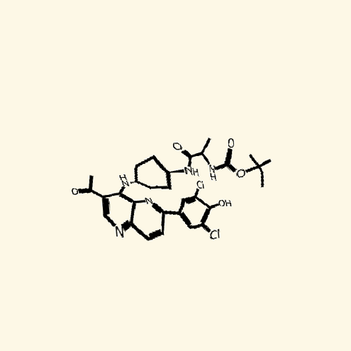 CC(=O)c1cnc2ccc(-c3cc(Cl)c(O)c(Cl)c3)nc2c1N[C@H]1CC[C@H](NC(=O)C(C)NC(=O)OC(C)(C)C)CC1